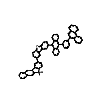 CC1(C)c2ccc(-c3ccc4oc5ccc(-c6c7ccccc7c(-c7cccc(-c8cc9ccccc9c9ccccc89)c7)c7ccccc67)cc5c4c3)cc2-c2cc3ccccc3cc21